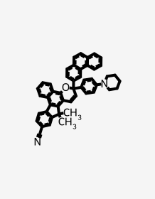 CC1(C)c2cc(C#N)ccc2-c2c1c1c(c3ccccc23)OC(c2ccc(N3CCCCC3)cc2)(c2ccc3ccc4ccccc4c3c2)C=C1